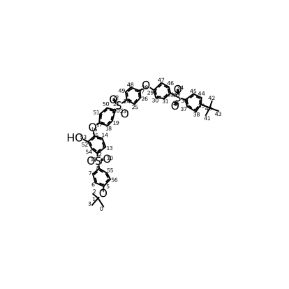 CC(C)(C)Oc1ccc(S(=O)(=O)c2ccc(Oc3ccc(S(=O)(=O)c4ccc(Oc5ccc(S(=O)(=O)c6ccc(C(C)(C)C)cc6)cc5)cc4)cc3)c(O)c2)cc1